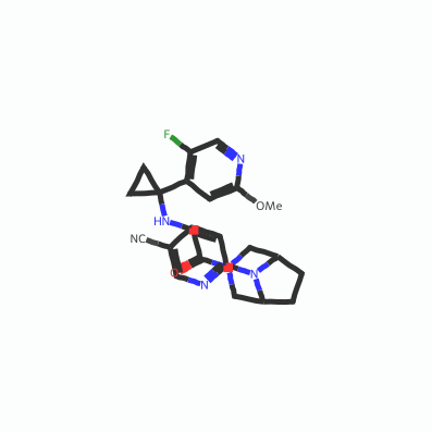 COc1cc(C2(NCC(=O)N3CC4CCC(C3)N4c3ccc(C#N)cn3)CC2)c(F)cn1